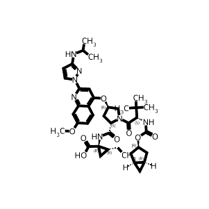 CC[C@@H]1C[C@]1(NC(=O)[C@@H]1C[C@@H](Oc2cc(-n3ccc(NC(C)C)n3)nc3cc(OC)ccc23)CN1C(=O)[C@@H](NC(=O)O[C@@H]1C[C@@H]2C[C@@H]2C1)C(C)(C)C)C(=O)O